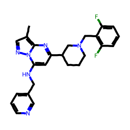 Cc1cnn2c(NCc3cccnc3)cc(C3CCCN(Cc4c(F)cccc4F)C3)nc12